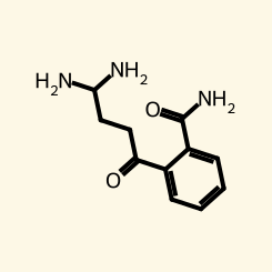 NC(=O)c1ccccc1C(=O)CCC(N)N